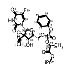 C#C[C@@]1(O)[C@@H](O)[C@@H](CO[P@](=O)(Oc2ccccc2)O[C@@H](C)C(=O)OC(C)C)O[C@H]1n1cc(F)c(=O)[nH]c1=O